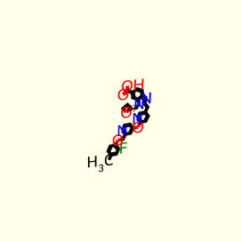 Cc1ccc(OCc2cc(Oc3ccc(Cc4nc5ccc(C(=O)O)cc5n4C[C@@H]4CCO4)cn3)ccn2)c(F)c1